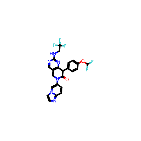 O=C1C(c2ccc(OC(F)F)cc2)c2nc(NCC(F)(F)F)ncc2CN1c1ccc2nccn2c1